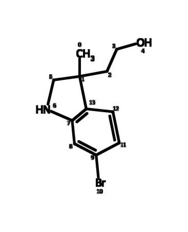 CC1(CCO)CNc2cc(Br)ccc21